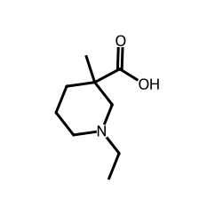 CCN1CCCC(C)(C(=O)O)C1